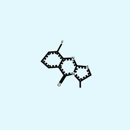 Cc1csc2nc3c(F)cccc3c(=O)n12